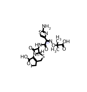 CC(C)(O/N=C(\C(=O)NC1C(=O)N2C(C(=O)O)=C(CI)CS[C@@H]12)c1csc(N)n1)C(=O)O